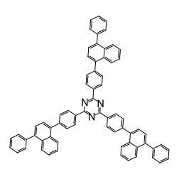 c1ccc(-c2ccc(-c3ccc(-c4nc(-c5ccc(-c6ccc(-c7ccccc7)c7ccccc67)cc5)nc(-c5ccc(-c6ccc(-c7ccccc7)c7ccccc67)cc5)n4)cc3)c3ccccc23)cc1